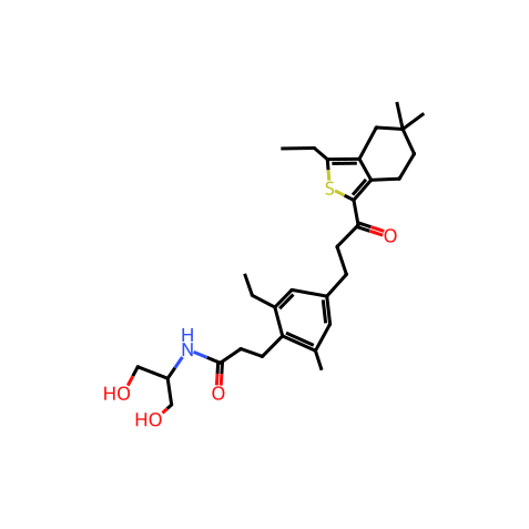 CCc1cc(CCC(=O)c2sc(CC)c3c2CCC(C)(C)C3)cc(C)c1CCC(=O)NC(CO)CO